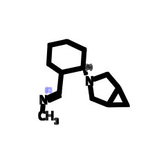 C/N=C/C1CCCC[C@@H]1N1CC2CC2C1